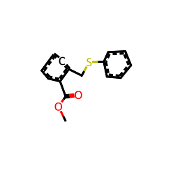 COC(=O)c1ccccc1CSc1ccccc1